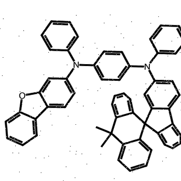 CC1(C)c2ccccc2C2(c3ccccc3-c3ccc(N(c4ccccc4)c4ccc(N(c5ccccc5)c5ccc6c(c5)oc5ccccc56)cc4)cc32)c2ccccc21